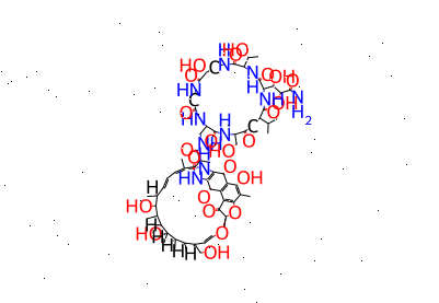 C/C1=C/C=C/[C@H](C)C(O)C(C)[C@@H](O)[C@@H](C)[C@H](C)[C@H](C)[C@@H](CO)/C=C/O[C@@]2(C)Oc3c(C)c(O)c4c(c3C2=O)C(=O)C(NC(C)C(C)C(=O)NCC2NC(=O)CNC(=O)C(O)CNC(=O)C(C(C)O)NC(=O)C(C(O)C(O)C(N)=O)NC(=O)C(C(C)C)CC(=O)C(CO)NC2=O)=C(NC1=O)C4=O